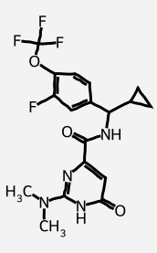 CN(C)c1nc(C(=O)NC(c2ccc(OC(F)(F)F)c(F)c2)C2CC2)cc(=O)[nH]1